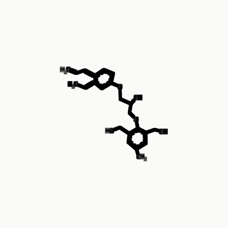 C=C/C=c1/ccc(OCC(O)COc2c(CO)cc(C)cc2CO)c/c1=C/C